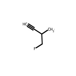 C#CC([CH2])CF